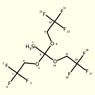 FC(F)(F)COC([SiH3])(OCC(F)(F)F)OCC(F)(F)F